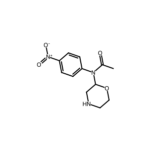 CC(=O)N(c1ccc([N+](=O)[O-])cc1)C1CNCCO1